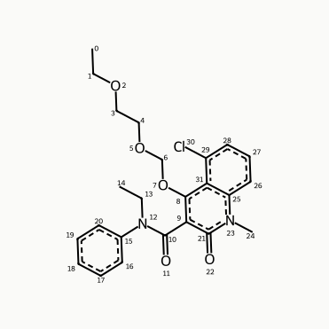 CCOCCOCOc1c(C(=O)N(CC)c2ccccc2)c(=O)n(C)c2cccc(Cl)c12